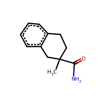 CC1(C(N)=O)CCc2ccccc2C1